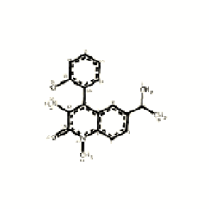 CC(C)c1ccc2c(c1)c(-c1ccccc1Cl)c(N)c(=O)n2C